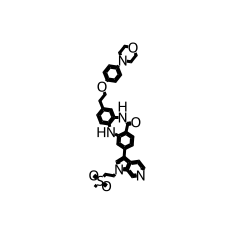 CS(=O)(=O)CCn1cc(-c2ccc3c(c2)Nc2ccc(CCOc4ccc(N5CCOCC5)cc4)cc2NC3=O)c2ccncc21